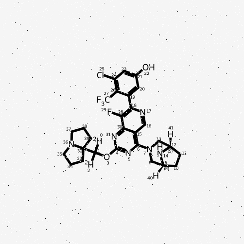 [2H]C([2H])(Oc1nc(N2C[C@H]3CC[C@@H](C2)N3)c2cnc(-c3cc(O)cc(Cl)c3C(F)(F)F)c(F)c2n1)C12CCCN1CCC2